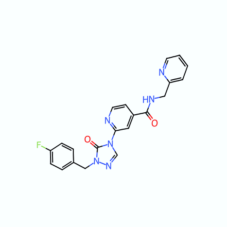 O=C(NCc1ccccn1)c1ccnc(-n2cnn(Cc3ccc(F)cc3)c2=O)c1